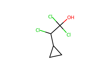 OC(Cl)(Cl)C(Cl)C1CC1